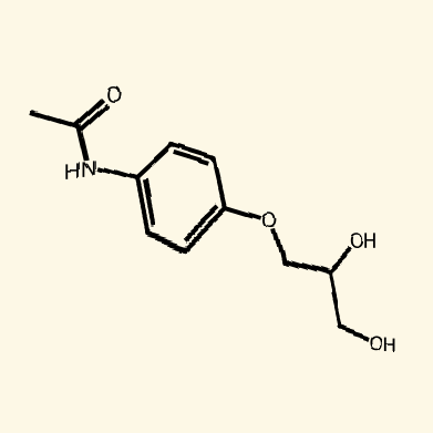 CC(=O)Nc1ccc(OCC(O)CO)cc1